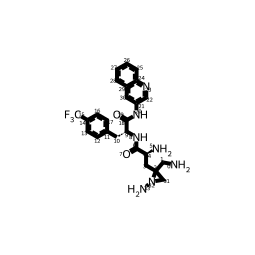 NCC1(C[C@H](N)C(=O)N[C@H](Cc2ccc(C(F)(F)F)cc2)C(=O)Nc2cnc3ccccc3c2)CN1N